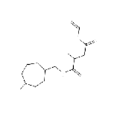 C=COC(=N)CC(S)C(=C)NCC1CCCC(O)CC1